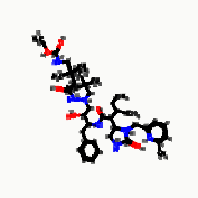 CCC(C)C(C(=O)NC(Cc1ccccc1)C(O)CN(CC(C)(C)C)NC(=O)CC(C)(C)CNC(=O)OC)C1CNC(=O)N1Cc1cccc(C)n1